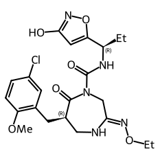 CCON=C1CN(C(=O)N[C@H](CC)c2cc(O)no2)C(=O)[C@H](Cc2cc(Cl)ccc2OC)CN1